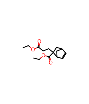 CCOC(=O)CCC1(C(=O)OCC)CC2C=CC1C2